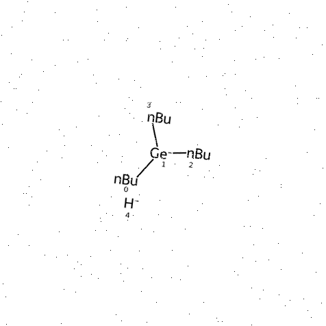 CCC[CH2][Ge-]([CH2]CCC)[CH2]CCC.[H-]